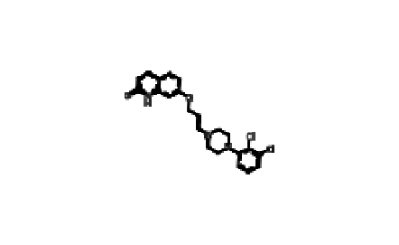 O=c1ccc2ccc(OCCCN3CCN(c4cccc(Cl)c4Cl)CC3)cc2[nH]1